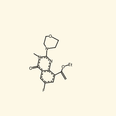 C=C(OCC)c1cc(F)cc2c(=O)n(C)c(N3CCOCC3)nc12